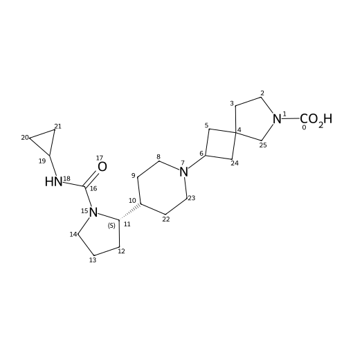 O=C(O)N1CCC2(CC(N3CCC([C@@H]4CCCN4C(=O)NC4CC4)CC3)C2)C1